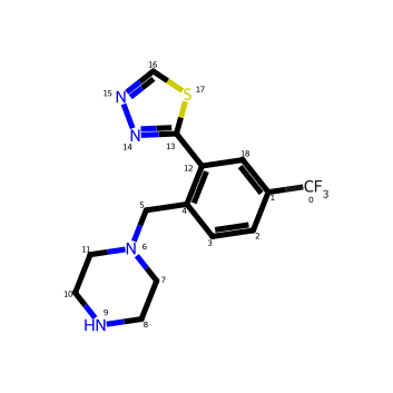 FC(F)(F)c1ccc(CN2CCNCC2)c(-c2nncs2)c1